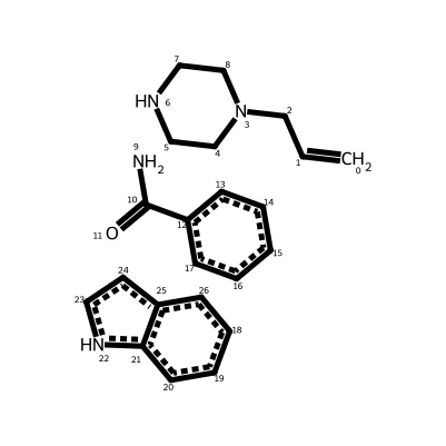 C=CCN1CCNCC1.NC(=O)c1ccccc1.c1ccc2[nH]ccc2c1